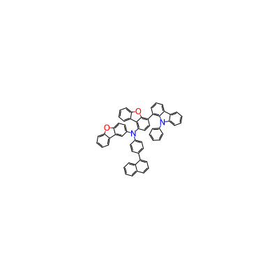 c1ccc(-n2c3ccccc3c3cccc(-c4ccc(N(c5ccc(-c6cccc7ccccc67)cc5)c5ccc6oc7ccccc7c6c5)c5c4oc4ccccc45)c32)cc1